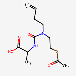 C=CCCN(CCSC(C)=O)C(=O)NC(C)C(=O)O